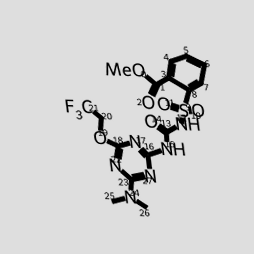 COC(=O)c1ccccc1S(=O)(=O)NC(=O)Nc1nc(OCC(F)(F)F)nc(N(C)C)n1